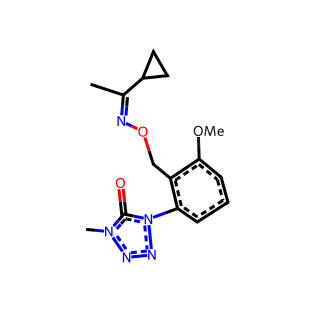 COc1cccc(-n2nnn(C)c2=O)c1CON=C(C)C1CC1